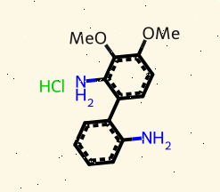 COc1ccc(-c2ccccc2N)c(N)c1OC.Cl